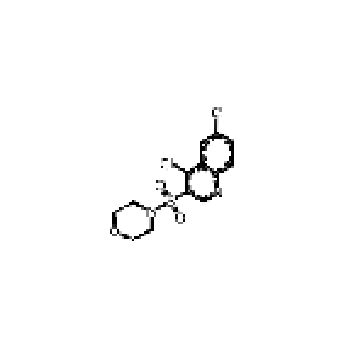 O=S(=O)(c1cnc2ccc(Cl)cc2c1Cl)N1CCOCC1